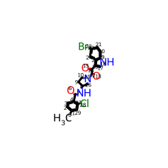 Cc1ccc(C(=O)NC2CCN(C(=O)C(=O)c3c[nH]c4ccc(Br)cc34)C2)c(Cl)c1